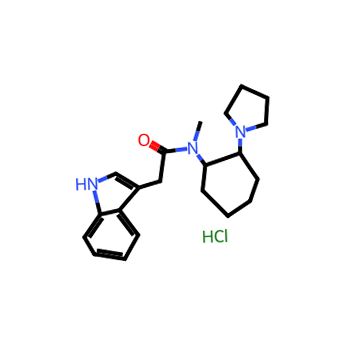 CN(C(=O)Cc1c[nH]c2ccccc12)C1CCCCC1N1CCCC1.Cl